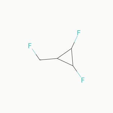 FCC1C(F)C1F